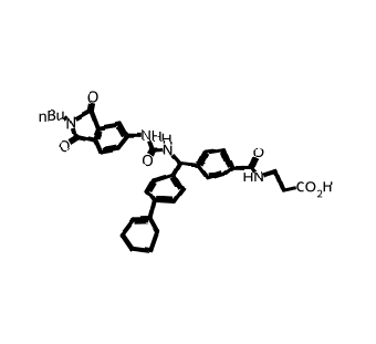 CCCCN1C(=O)c2ccc(NC(=O)NC(c3ccc(C(=O)NCCC(=O)O)cc3)c3ccc(C4=CCCCC4)cc3)cc2C1=O